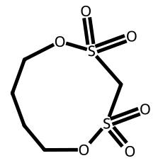 O=S1(=O)CS(=O)(=O)OCCCCO1